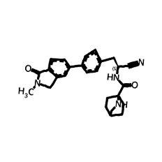 CN1Cc2cc(-c3ccc(C[C@@H](C#N)NC(=O)C45CCC(CC4)CN5)cc3)ccc2C1=O